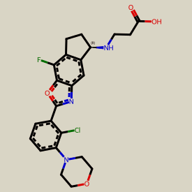 O=C(O)CCN[C@@H]1CCc2c1cc1nc(-c3cccc(N4CCOCC4)c3Cl)oc1c2F